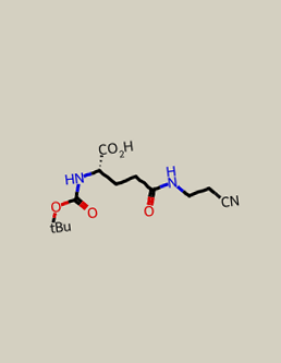 CC(C)(C)OC(=O)N[C@@H](CCC(=O)NCCC#N)C(=O)O